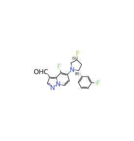 O=Cc1cnn2ccc(N3C[C@@H](F)C[C@@H]3c3cccc(F)c3)c(F)c12